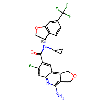 Nc1nc2cc(F)c(C(=O)N(C3CC3)[C@@H]3COc4cc(C(F)(F)F)ccc43)cc2c2c1COC2